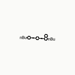 CCCCc1ccc(C#Cc2ccc(C#Cc3ccc(CCCC)c4ccccc34)cc2)cc1